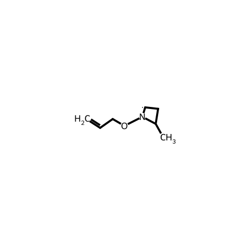 C=CCON1[CH]CC1C